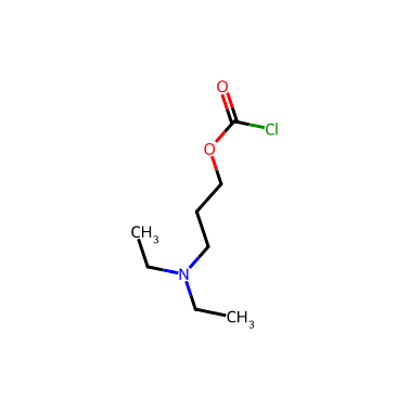 CCN(CC)CCCOC(=O)Cl